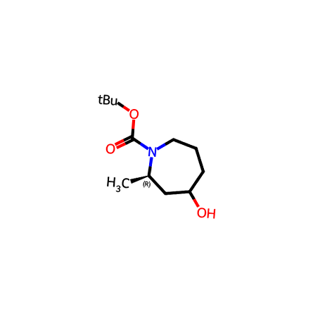 C[C@@H]1CC(O)CCCN1C(=O)OC(C)(C)C